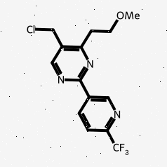 COCCc1nc(-c2ccc(C(F)(F)F)nc2)ncc1CCl